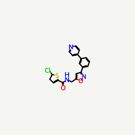 O=C(NCc1cc(-c2cccc(-c3ccncc3)c2)no1)C1=CCC(Cl)S1